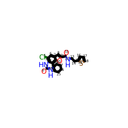 O=C1Nc2c(Cl)cc3cc(C(=O)NCCc4cccs4)oc3c2C2(CCCCC2)N1